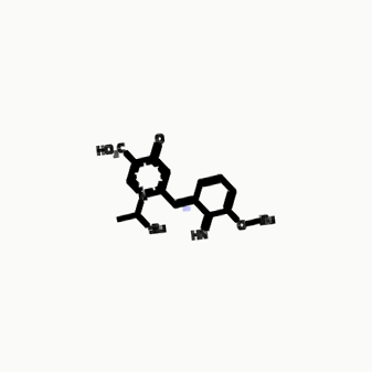 CCC(C)OC1=CC=C/C(=C\c2cc(=O)c(C(=O)O)cn2C(C)C(C)(C)C)C1=N